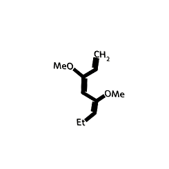 C=C/C(=C\C(=C/CC)OC)OC